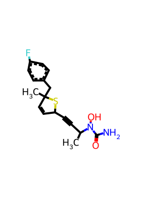 CC(C#CC1C=CC(C)(Cc2ccc(F)cc2)S1)N(O)C(N)=O